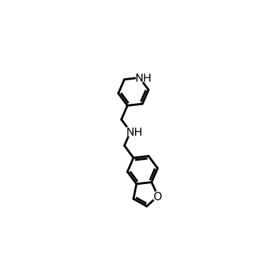 C1=CC(CNCc2ccc3occc3c2)=CCN1